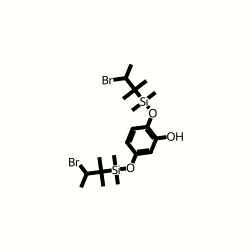 CC(Br)C(C)(C)[Si](C)(C)Oc1ccc(O[Si](C)(C)C(C)(C)C(C)Br)c(O)c1